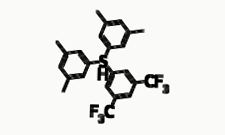 Cc1cc(C)cc([SH](c2cc(C)cc(C)c2)c2cc(C(F)(F)F)cc(C(F)(F)F)c2)c1